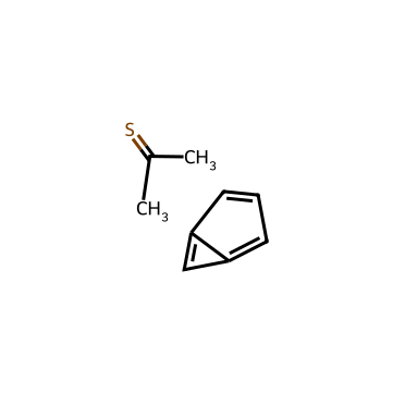 CC(C)=S.c1cc2cc-2c1